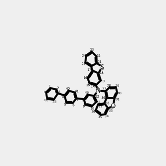 c1ccc(-c2ccc(-c3cccc(N(c4ccc5c(c4)sc4ccccc45)c4cccc5oc6ccccc6c45)c3)cc2)cc1